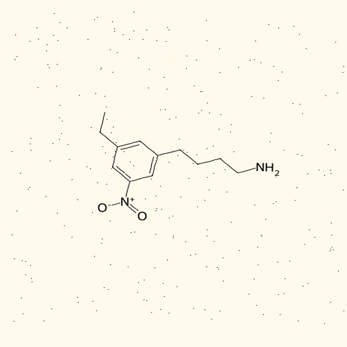 CCc1cc(CCCCN)cc([N+](=O)[O-])c1